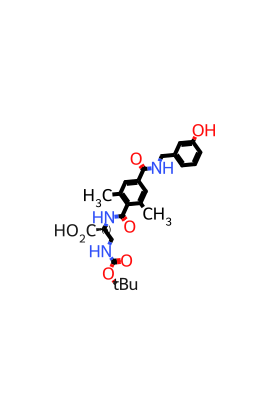 Cc1cc(C(=O)NCc2cccc(O)c2)cc(C)c1C(=O)N[C@@H](CNC(=O)OC(C)(C)C)C(=O)O